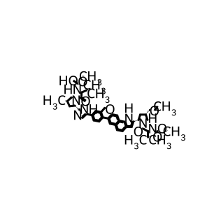 COC[C@H]1C[C@@H](c2cc3ccc4cc5c(cc4c3[nH]2)OCc2cc(-c3cnc([C@@H]4C[C@H](C)CN4C(=O)[C@@H](NC(O)OC)C(C)C)[nH]3)ccc2-5)N(C(=O)[C@@H](NC(=O)OC)C(C)C)C1